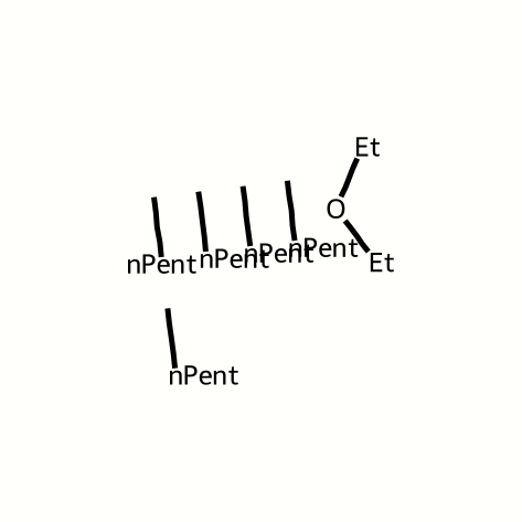 CCCCCC.CCCCCC.CCCCCC.CCCCCC.CCCCCC.CCOCC